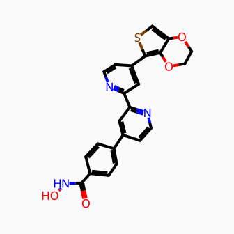 O=C(NO)c1ccc(-c2ccnc(-c3cc(-c4scc5c4OCCO5)ccn3)c2)cc1